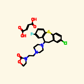 O=C(O)C=CC(=O)O.O=C1OCCN1CCN1CCN(C2Cc3cc(Cl)ccc3Sc3ccc(F)cc32)CC1